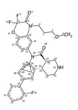 COCCCN1C(=O)C(F)(F)Oc2ccc(N(C(=O)[C@H]3CNCC[C@@H]3c3cccc(-c4ccccc4F)c3)C3CC3)cc21